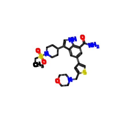 CCS(=O)(=O)N1CCC(c2c[nH]c3c(C(N)=O)cc(-c4csc(CN5CCOCC5)c4)cc23)CC1